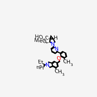 CCCC(CC)N1Cc2cc(COc3c(C)cccc3-c3cccc(N4C[C@@H]5C[C@]5(C(=O)O)[C@H]4COC)n3)cc(C)c2C1